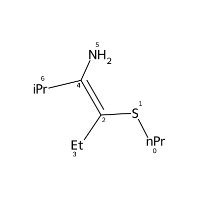 CCCS/C(CC)=C(\N)C(C)C